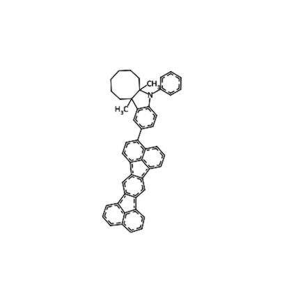 CC12CCCCCCC1(C)N(c1ccccc1)c1ccc(-c3ccc4c5cc6c(cc5c5cccc3c54)c3cccc4cccc6c43)cc12